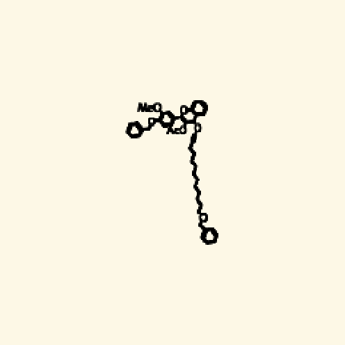 COc1cc(C2=C(OC(C)=O)C(OC#CCCCCCCCCCCCOCc3ccccc3)c3ccccc3O2)ccc1OCc1ccccc1